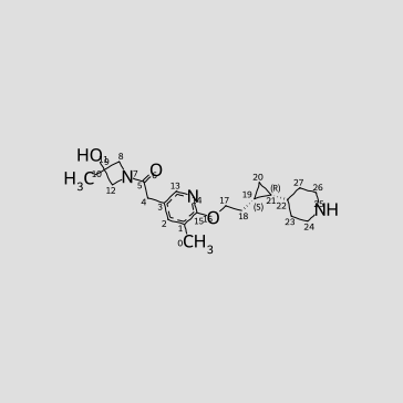 Cc1cc(CC(=O)N2CC(C)(O)C2)cnc1OCC[C@@H]1C[C@@H]1C1CCNCC1